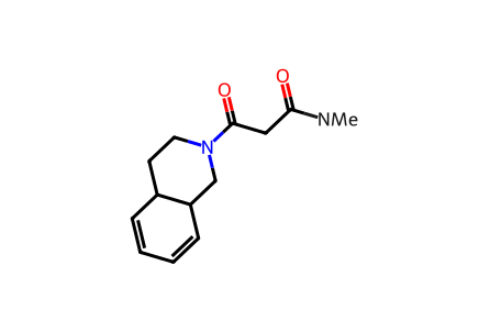 CNC(=O)CC(=O)N1CCC2C=CC=CC2C1